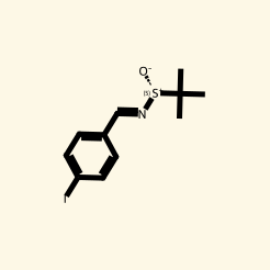 CC(C)(C)[S@@+]([O-])N=Cc1ccc(I)cc1